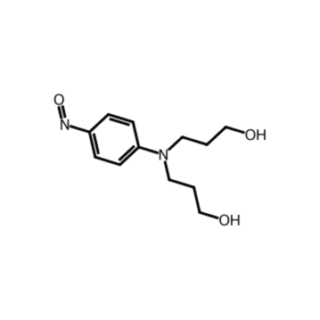 O=Nc1ccc(N(CCCO)CCCO)cc1